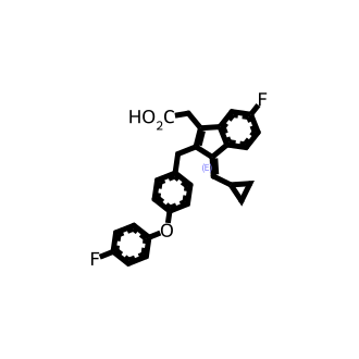 O=C(O)CC1=C(Cc2ccc(Oc3ccc(F)cc3)cc2)/C(=C/C2CC2)c2ccc(F)cc21